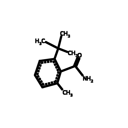 Cc1cccc(C(C)(C)C)c1C(N)=O